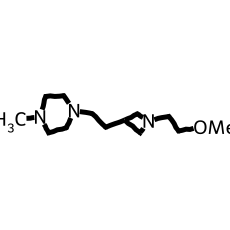 COCCN1CC(CCN2CCN(C)CC2)C1